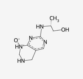 C[C@H](CO)Nc1ncc2c(n1)[NH+]([O-])CNC2